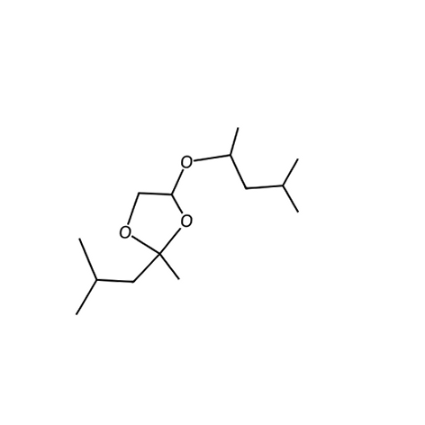 CC(C)CC(C)OC1COC(C)(CC(C)C)O1